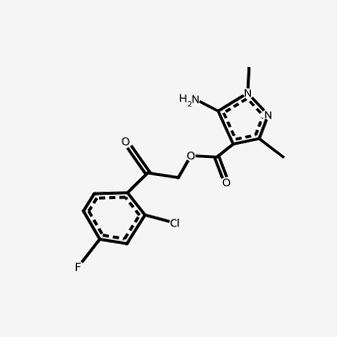 Cc1nn(C)c(N)c1C(=O)OCC(=O)c1ccc(F)cc1Cl